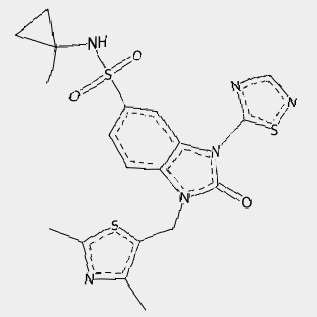 Cc1nc(C)c(Cn2c(=O)n(-c3ncns3)c3cc(S(=O)(=O)NC4(C)CC4)ccc32)s1